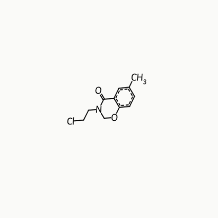 Cc1ccc2c(c1)C(=O)N(CCCl)CO2